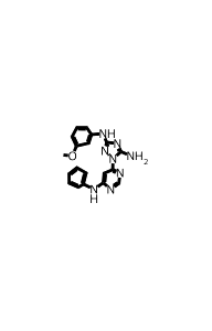 COc1cccc(Nc2nc(N)n(-c3cc(Nc4ccccc4)ncn3)n2)c1